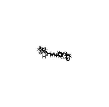 CC(C)S(=O)(=O)NCCCCCNc1ccc(OC2CCOC2)cc1